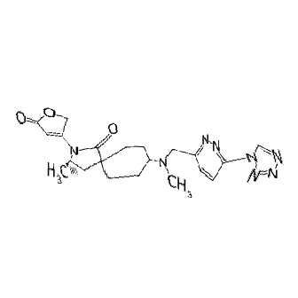 C[C@@H]1CC2(CCC(N(C)Cc3ccc(-n4cnnn4)nn3)CC2)C(=O)N1C1=CC(=O)OC1